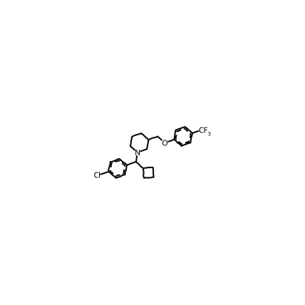 FC(F)(F)c1ccc(OCC2CCCN(C(c3ccc(Cl)cc3)C3CCC3)C2)cc1